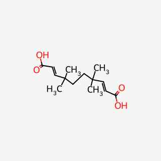 CC(C)(C=CC(=O)O)CCC(C)(C)C=CC(=O)O